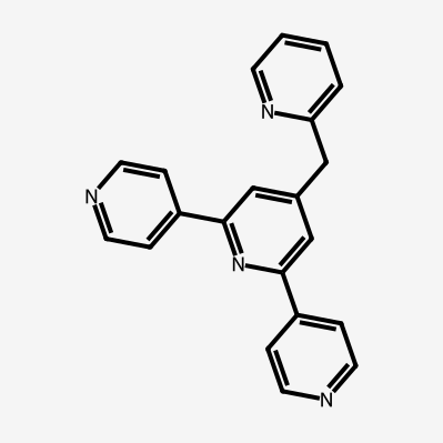 c1ccc(Cc2cc(-c3ccncc3)nc(-c3ccncc3)c2)nc1